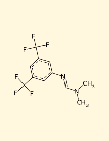 CN(C)C=Nc1cc(C(F)(F)F)cc(C(F)(F)F)c1